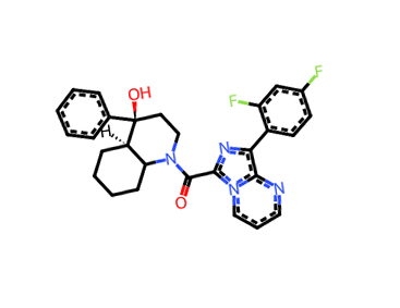 O=C(c1nc(-c2ccc(F)cc2F)c2ncccn12)N1CC[C@@](O)(c2ccccc2)[C@@H]2CCCCC21